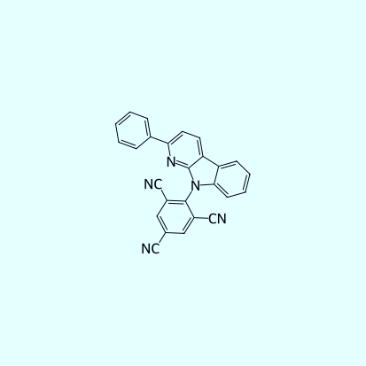 N#Cc1cc(C#N)c(-n2c3ccccc3c3ccc(-c4ccccc4)nc32)c(C#N)c1